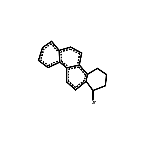 BrC1CCCc2c1ccc1c2ccc2ccccc21